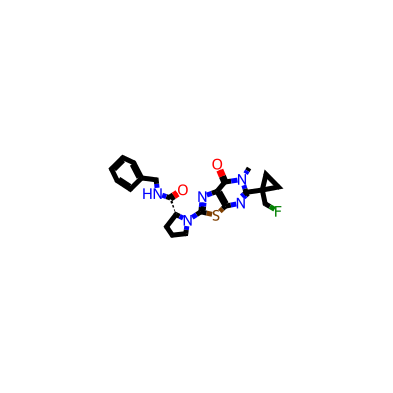 Cn1c(C2(CF)CC2)nc2sc(N3CCC[C@@H]3C(=O)NCc3ccccc3)nc2c1=O